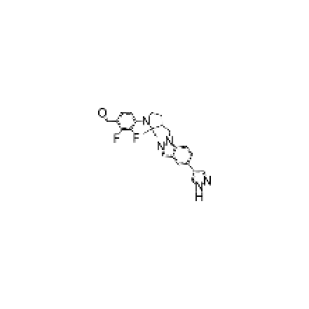 CC1(C)C(Cn2ncc3cc(-c4cn[nH]c4)ccc32)CCN1c1ccc(C=O)c(F)c1F